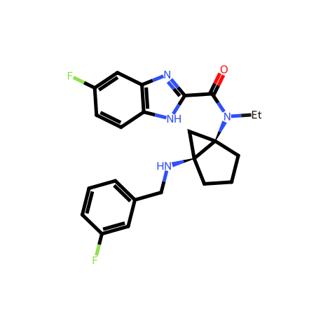 CCN(C(=O)c1nc2cc(F)ccc2[nH]1)[C@@]12CCC[C@]1(NCc1cccc(F)c1)C2